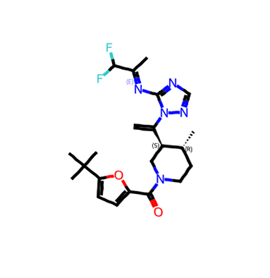 C=C([C@@H]1CN(C(=O)c2ccc(C(C)(C)C)o2)CC[C@H]1C)n1ncnc1/N=C(\C)C(F)F